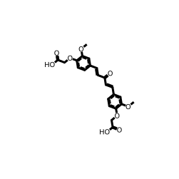 COc1cc(C=CC(=O)C=Cc2ccc(OCC(=O)O)c(OC)c2)ccc1OCC(=O)O